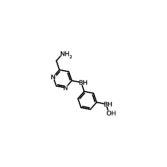 NCc1cc(Bc2cccc(BO)c2)ncn1